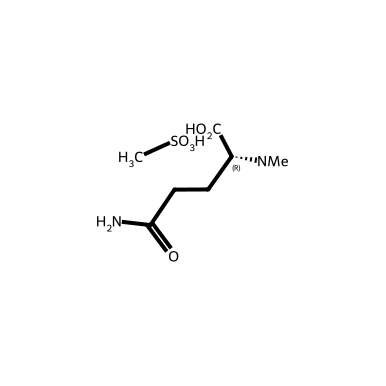 CN[C@H](CCC(N)=O)C(=O)O.CS(=O)(=O)O